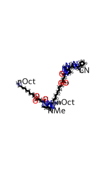 CCCCCCCC/C=C\CCCCCCCCOC(=O)CCC(=O)n1ccc2c(NC)nc(/C(=C/CCCCCCCC)CCCCCCCCOC(=O)CCC(=O)n3ccc4c(-c5cnn([C@H](CC#N)C6CCCC6)c5)ncnc43)nc21